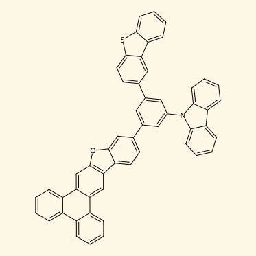 c1ccc2c(c1)sc1ccc(-c3cc(-c4ccc5c(c4)oc4cc6c7ccccc7c7ccccc7c6cc45)cc(-n4c5ccccc5c5ccccc54)c3)cc12